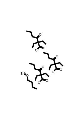 CCCC(=O)C(CC)(CC)C(=O)[O-].CCCC(=O)C(CC)(CC)C(=O)[O-].CCCC(=O)C(CC)(CC)C(=O)[O-].CCCC[O][Zr+3]